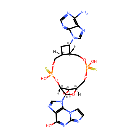 Nc1ncnc2c1ncn2[C@@H]1C[C@@H]2COP(O)(=S)O[C@@H]3[C@H](O)[C@@H](COP(O)(=S)OC[C@H]21)O[C@H]3n1cnc2c(O)nc3nccn3c21